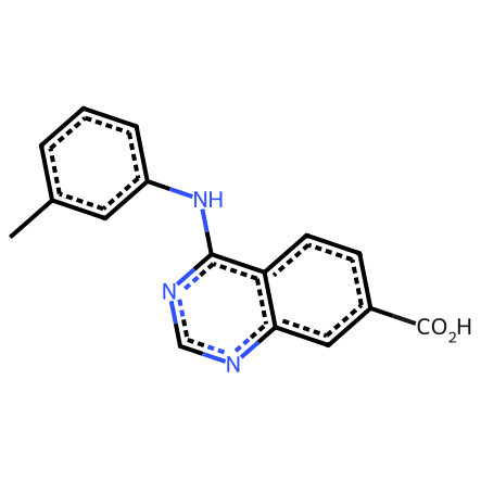 Cc1cccc(Nc2ncnc3cc(C(=O)O)ccc23)c1